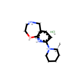 C[C@@H]1CCCCN1c1ccc2c(n1)OCCNC2.Cl